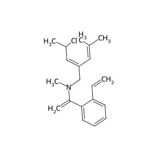 C=Cc1ccccc1C(=C)N(C)C/C(C=C(C)C)=C/C(C)Cl